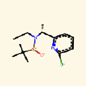 CCN([C@H](C)c1cccc(Br)n1)[S+]([O-])C(C)(C)C